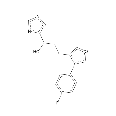 OC(CCc1cocc1-c1ccc(F)cc1)c1nc[nH]n1